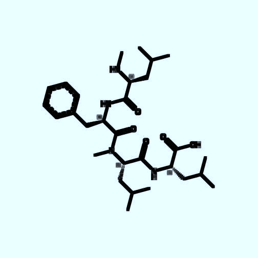 CN[C@@H](CC(C)C)C(=O)N[C@H](Cc1ccccc1)C(=O)N(C)[C@@H](CC(C)C)C(=O)N[C@@H](CC(C)C)C(=O)O